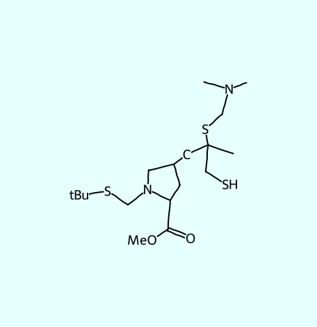 COC(=O)C1CC(CC(C)(CS)SCN(C)C)CN1CSC(C)(C)C